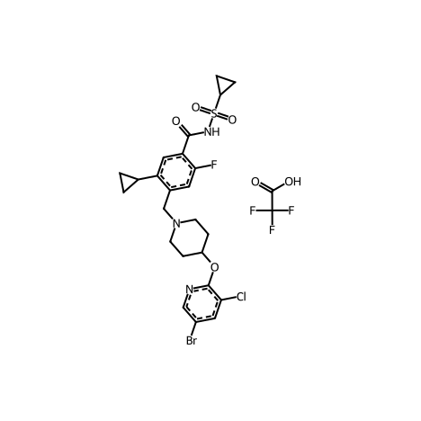 O=C(NS(=O)(=O)C1CC1)c1cc(C2CC2)c(CN2CCC(Oc3ncc(Br)cc3Cl)CC2)cc1F.O=C(O)C(F)(F)F